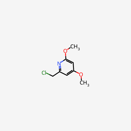 COc1cc(CCl)nc(OC)c1